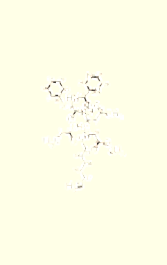 CCC(=O)OB([C@H](CC(C)C)NC(=O)[C@H](Cc1ccccc1)NC(=O)c1cnccn1)N(CCCCCCN)CC(=O)OC